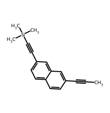 CC#Cc1ccc2ccc(C#C[Si](C)(C)C)cc2c1